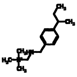 CCC(C)c1ccc(CNC[N+](C)(C)C)cc1